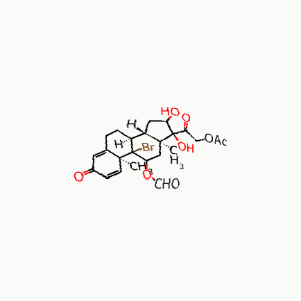 CC(=O)OCC(=O)[C@@]1(O)C(O)C[C@H]2[C@@H]3CCC4=CC(=O)C=C[C@]4(C)[C@@]3(Br)C(OC=O)C[C@@]21C